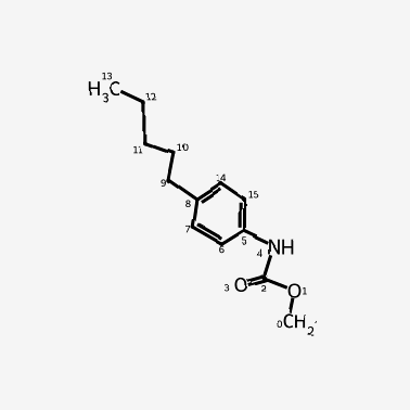 [CH2]OC(=O)Nc1ccc(CCCCC)cc1